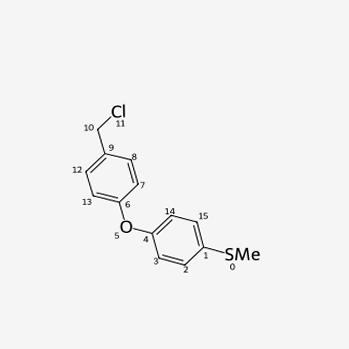 CSc1ccc(Oc2ccc(CCl)cc2)cc1